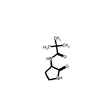 CC(C)(C)C(=O)NC1CCNC1=O